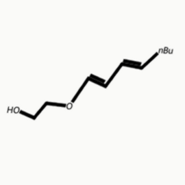 CCCCC=CC=COCCO